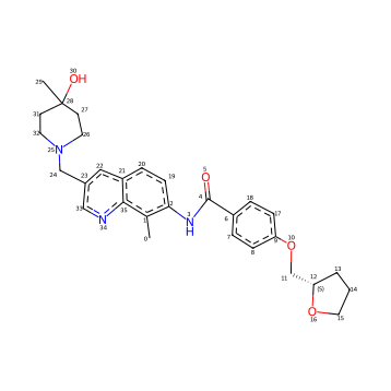 Cc1c(NC(=O)c2ccc(OC[C@@H]3CCCO3)cc2)ccc2cc(CN3CCC(C)(O)CC3)cnc12